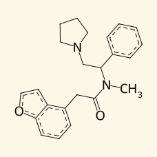 CN(C(=O)Cc1cccc2occc12)C(CN1CCCC1)c1ccccc1